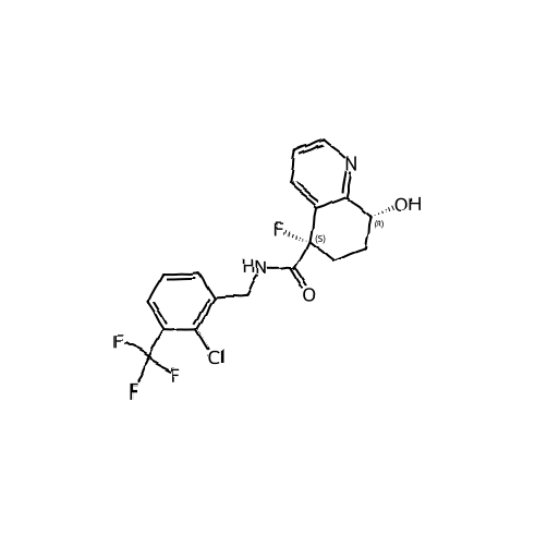 O=C(NCc1cccc(C(F)(F)F)c1Cl)[C@]1(F)CC[C@@H](O)c2ncccc21